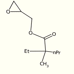 CCCC(C)(CC)C(=O)OCC1CO1